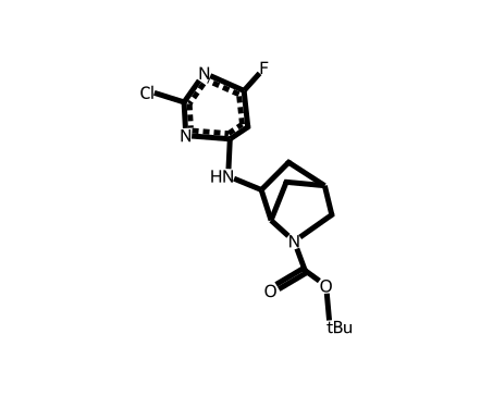 CC(C)(C)OC(=O)N1CC2CC(Nc3cc(F)nc(Cl)n3)C1C2